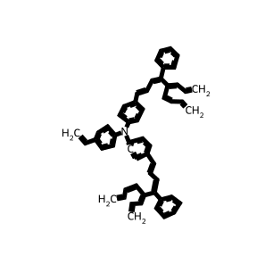 C=C/C=C\C(=C/C=C)C(=CC=Cc1ccc(N(c2ccc(C=C)cc2)c2ccc(C=CC=C(C(/C=C\C=C)=C/C=C)c3ccccc3)cc2)cc1)c1ccccc1